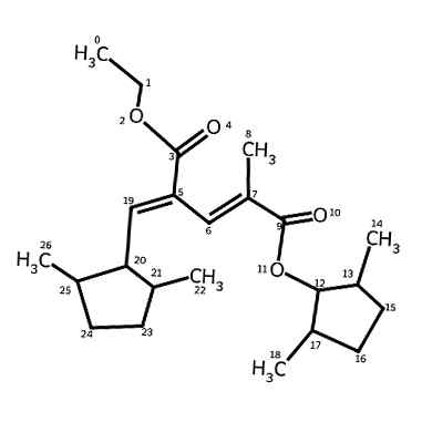 CCOC(=O)C(C=C(C)C(=O)OC1C(C)CCC1C)=CC1C(C)CCC1C